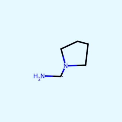 N[CH]N1CCCC1